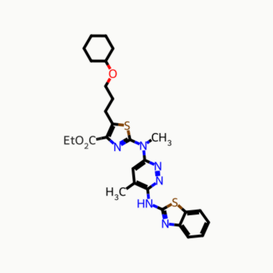 CCOC(=O)c1nc(N(C)c2cc(C)c(Nc3nc4ccccc4s3)nn2)sc1CCCOC1CCCCC1